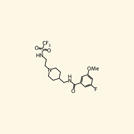 COc1cc(F)cc(C(=O)NCC2CCN(CCNS(=O)(=O)C(F)(F)F)CC2)c1